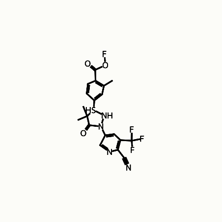 Cc1cc([SH]2NN(c3cnc(C#N)c(C(F)(F)F)c3)C(=O)C2(C)C)ccc1C(=O)OF